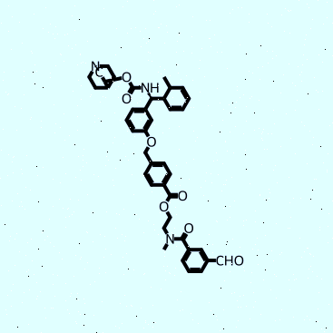 CC1C=CC=CC1[C@H](NC(=O)OC1CN2CCC1CC2)c1cccc(OCc2ccc(C(=O)OCCN(C)C(=O)c3cccc(C=O)c3)cc2)c1